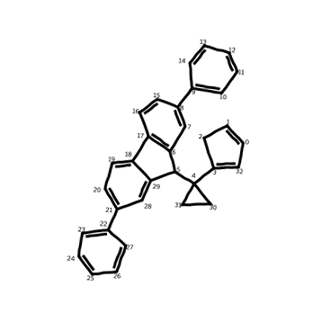 C1=CCC(C2(C3c4cc(-c5ccccc5)ccc4-c4ccc(-c5ccccc5)cc43)CC2)=C1